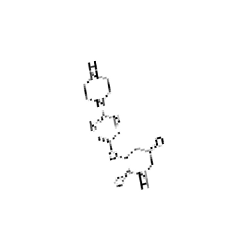 O=C1CNC(=O)C(Oc2cnc(N3CCNCC3)nc2)C1